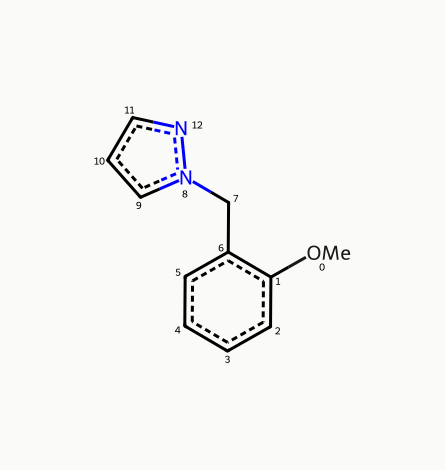 COc1ccccc1Cn1cccn1